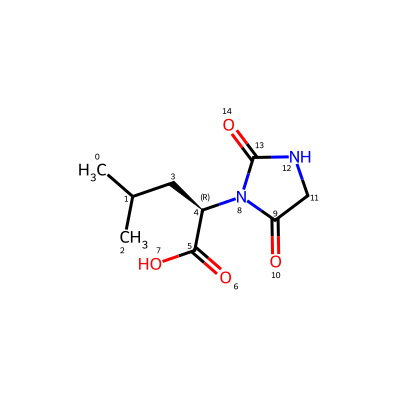 CC(C)C[C@H](C(=O)O)N1C(=O)CNC1=O